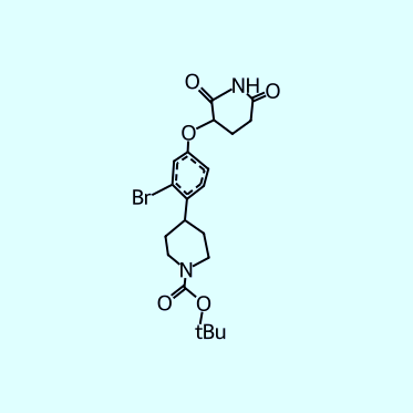 CC(C)(C)OC(=O)N1CCC(c2ccc(OC3CCC(=O)NC3=O)cc2Br)CC1